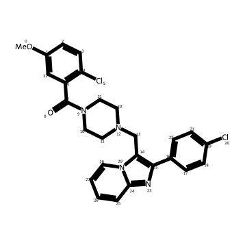 COc1ccc(Cl)c(C(=O)N2CCN(Cc3c(-c4ccc(Cl)cc4)nc4ccccn34)CC2)c1